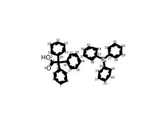 O=C(O)C(c1ccccc1)(c1ccccc1)c1ccccc1.c1ccc(P(c2ccccc2)c2ccccc2)cc1